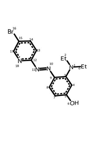 CCN(CC)c1cc(O)ccc1N=Nc1ccc(Br)cn1